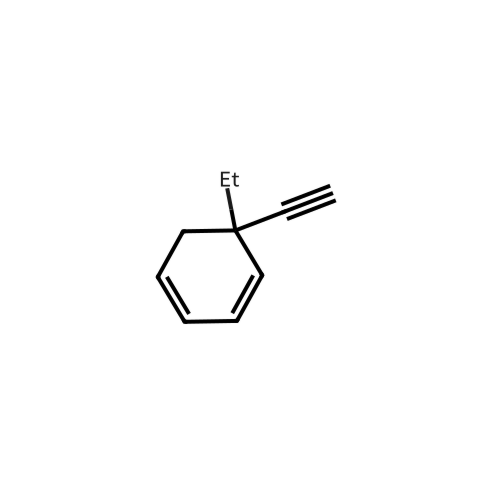 C#CC1(CC)C=CC=CC1